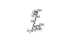 NCCN(CCNCCNC(CC(=O)O)C(=O)O)C(CC(=O)O)C(=O)O